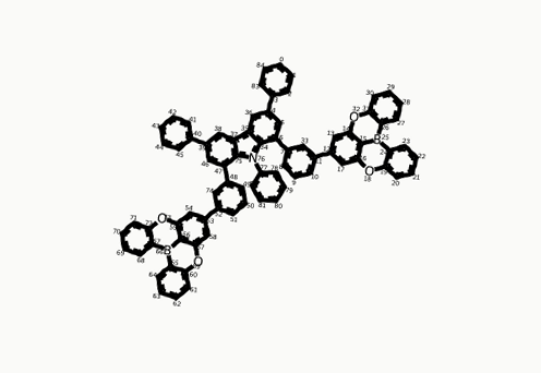 c1ccc(-c2cc(-c3cccc(-c4cc5c6c(c4)Oc4ccccc4B6c4ccccc4O5)c3)c3c(c2)c2cc(-c4ccccc4)cc(-c4cccc(-c5cc6c7c(c5)Oc5ccccc5B7c5ccccc5O6)c4)c2n3-c2ccccc2)cc1